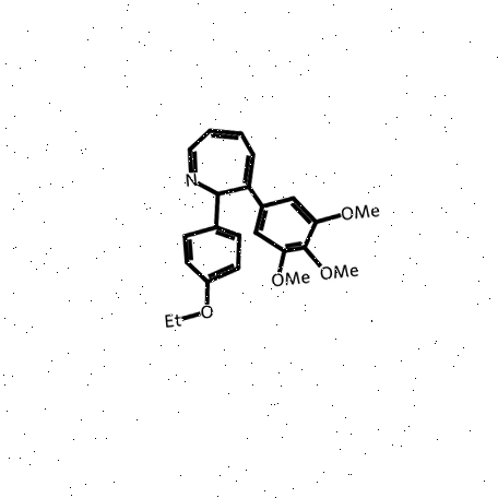 CCOc1ccc(C2N=CC=CC=C2c2cc(OC)c(OC)c(OC)c2)cc1